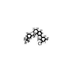 Fc1cc(Cl)c(F)c(-c2ccc3c(c2)N(Sc2cccc(C(F)(F)F)c2)CCC3)c1